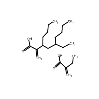 C=C(C(=O)O)C(CCCC)CC(CC)CCCC.C=C(CC)C(=O)O